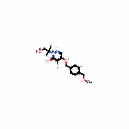 CCCOCc1ccc(COc2cnn(C(C)(C)CO)c(=O)c2Cl)cc1